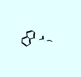 CCNC(=N)Nc1cccc2ccccc12